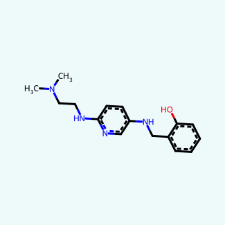 CN(C)CCNc1ccc(NCc2ccccc2O)cn1